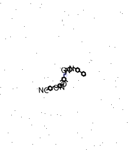 Cc1cc(/C=C/C(=O)N2CCN(Cc3ccc(-c4ccccc4)cc3)CC2)cc(C)c1Oc1ccc(OCc2ccc(C#N)cc2)cn1